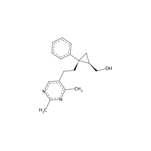 Cc1ncc(CC[C@@]2(c3ccccc3)C[C@H]2CO)c(C)n1